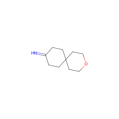 N=C1CCC2(CCOCC2)CC1